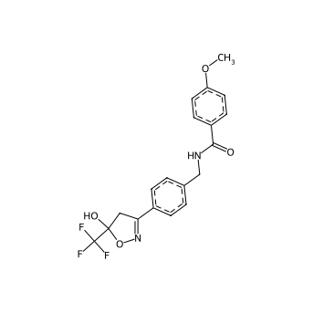 COc1ccc(C(=O)NCc2ccc(C3=NOC(O)(C(F)(F)F)C3)cc2)cc1